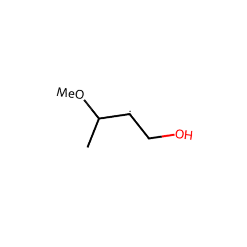 COC(C)[CH]CO